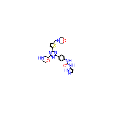 O=C(Nc1ccc(-c2nc(-c3ccc(CN4CCOCC4)s3)nc(C3CNCCO3)n2)cc1)Nc1ccn[nH]1